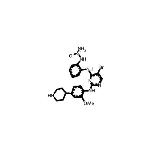 COc1cc(C2CCNCC2)ccc1Nc1ncc(Br)c(Nc2ccccc2N[S+](N)[O-])n1